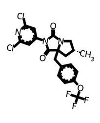 C[C@H]1CN2C(=O)N(c3cc(Cl)nc(Cl)c3)C(=O)C2(Cc2ccc(OC(F)(F)F)cc2)C1